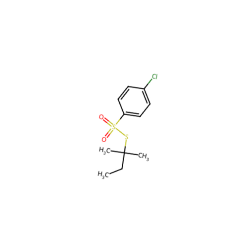 CCC(C)(C)SS(=O)(=O)c1ccc(Cl)cc1